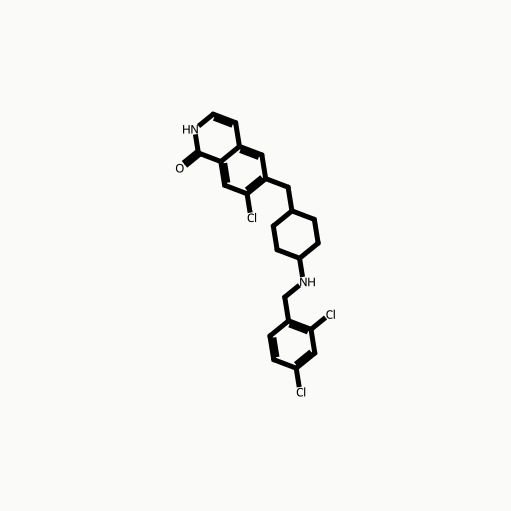 O=c1[nH]ccc2cc(CC3CCC(NCc4ccc(Cl)cc4Cl)CC3)c(Cl)cc12